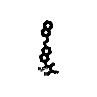 CC(C)N(O)C(=O)[C@@H](C)c1ccc2cc(OCc3ccc4ccccc4n3)ccc2c1